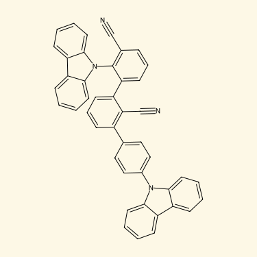 N#Cc1cccc(-c2cccc(-c3ccc(-n4c5ccccc5c5ccccc54)cc3)c2C#N)c1-n1c2ccccc2c2ccccc21